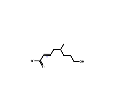 CC(C/C=C/C(=O)O)CCCO